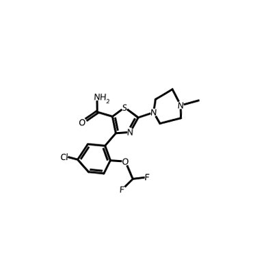 CN1CCN(c2nc(-c3cc(Cl)ccc3OC(F)F)c(C(N)=O)s2)CC1